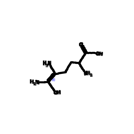 N/C(O)=C(\N)CCC(N)C(=O)O